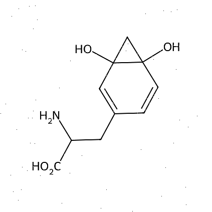 NC(CC1=CC2(O)CC2(O)C=C1)C(=O)O